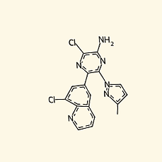 Cc1ccn(-c2nc(N)c(Cl)nc2-c2cc(Cl)c3ncccc3c2)n1